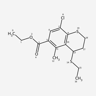 CCOC(=O)c1cc(Cl)c2c(c1C)C(SCC)CCS2